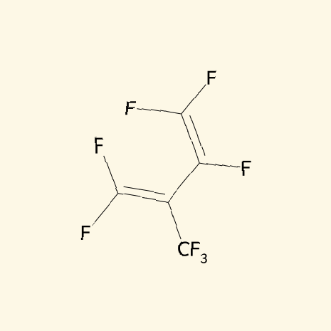 FC(F)=C(F)C(=C(F)F)C(F)(F)F